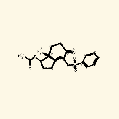 CC(=O)OC1CCC2=C(CS(=O)(=O)c3ccccc3)C(=O)CCC21C